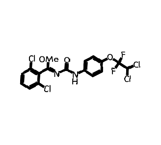 CO/C(=N\C(=O)Nc1ccc(OC(F)(F)C(Cl)Cl)cc1)c1c(Cl)cccc1Cl